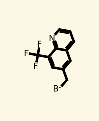 FC(F)(F)c1cc(CBr)cc2cccnc12